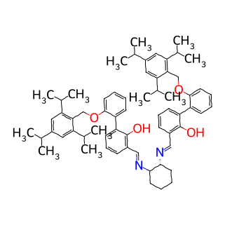 CC(C)c1cc(C(C)C)c(COc2ccccc2-c2cccc(/C=N/C3CCCC[C@H]3/N=C/c3cccc(-c4ccccc4OCc4c(C(C)C)cc(C(C)C)cc4C(C)C)c3O)c2O)c(C(C)C)c1